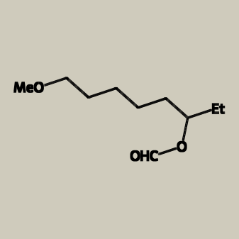 [CH2]CC(CCCCCOC)OC=O